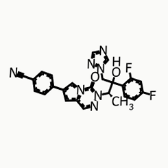 C[C@@H](n1ncc2cc(-c3ccc(C#N)cc3)cn2c1=O)C(O)(Cn1cncn1)c1ccc(F)cc1F